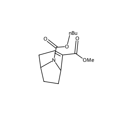 CCCCOC(=O)N1C2CC=C(C(=O)OC)C1CC2